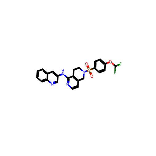 O=S(=O)(c1ccc(OC(F)F)cc1)N1CCc2c(ccnc2Nc2cnc3ccccc3c2)C1